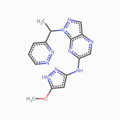 COc1cc(Nc2cnc3cnn(C(C)c4cccnn4)c3n2)n[nH]1